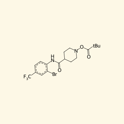 CC(C)(C)C(=O)ON1CCC(C(=O)Nc2ccc(C(F)(F)F)cc2Br)CC1